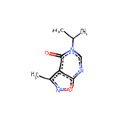 Cc1noc2ncn(C(C)C)c(=O)c12